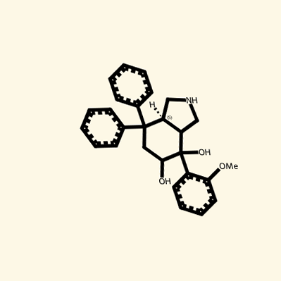 COc1ccccc1C1(O)C(O)CC(c2ccccc2)(c2ccccc2)[C@H]2CNCC21